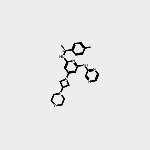 C[C@H](Nc1cc(N2CC(N3CCOCC3)C2)cc(Nc2cnccn2)n1)c1ccc(F)cc1